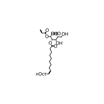 C=CC(=O)O[C@@H](C=O)[C@@H](OC(=O)CCCCCCC/C=C\CCCCCCCC)[C@H](O)[C@H](O)CO